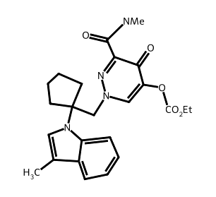 CCOC(=O)Oc1cn(CC2(n3cc(C)c4ccccc43)CCCC2)nc(C(=O)NC)c1=O